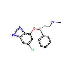 CNCC[C@@H](Oc1cc(Cl)cc2[nH]cnc12)c1ccccc1